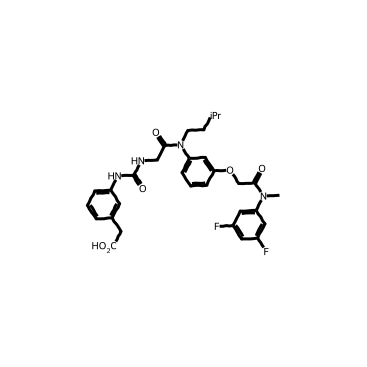 CC(C)CCN(C(=O)CNC(=O)Nc1cccc(CC(=O)O)c1)c1cccc(OCC(=O)N(C)c2cc(F)cc(F)c2)c1